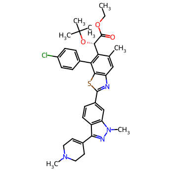 CCOC(=O)[C@@H](OC(C)(C)C)c1c(C)cc2nc(-c3ccc4c(C5=CCN(C)CC5)nn(C)c4c3)sc2c1-c1ccc(Cl)cc1